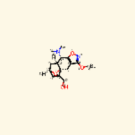 CCCCOc1noc2c1C[C@@]13O[C@@H](C=C1CO)C[C@H]3[C@@H]2N(C)C